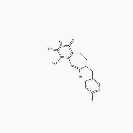 Cn1c2c(c(=O)[nH]c1=O)CCC(Cc1ccc(F)cc1)C(Br)=N2